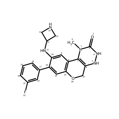 CN1C(=O)NNC2=C1c1cc(NC3CNC3)c(-c3cccc(F)c3)cc1OC2